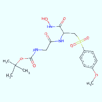 COc1ccc(S(=O)(=O)CC(NC(=O)CNC(=O)OC(C)(C)C)C(=O)NO)cc1